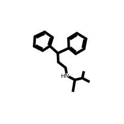 CC(C)C(C)NCCC(c1ccccc1)c1ccccc1